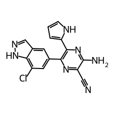 N#Cc1nc(-c2cc(Cl)c3[nH]ncc3c2)c(-c2ccc[nH]2)nc1N